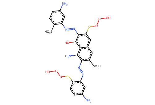 Nc1ccc(SOOO)c(/N=N/c2c(S(=O)(=O)O)cc3cc(SOOO)c(/N=N/c4cc(N)ccc4S(=O)(=O)O)c(O)c3c2N)c1